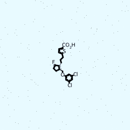 O=C(O)c1ccc(CCC[C@@H]2[C@@H](COc3cc(Cl)cc(Cl)c3)CC[C@H]2F)s1